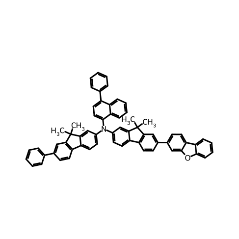 CC1(C)c2cc(-c3ccccc3)ccc2-c2ccc(N(c3ccc4c(c3)C(C)(C)c3cc(-c5ccc6c(c5)oc5ccccc56)ccc3-4)c3ccc(-c4ccccc4)c4ccccc34)cc21